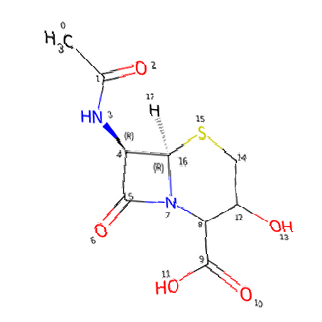 CC(=O)N[C@@H]1C(=O)N2C(C(=O)O)C(O)CS[C@H]12